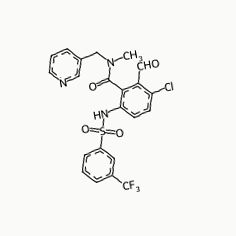 CN(Cc1cccnc1)C(=O)c1c(NS(=O)(=O)c2cccc(C(F)(F)F)c2)ccc(Cl)c1C=O